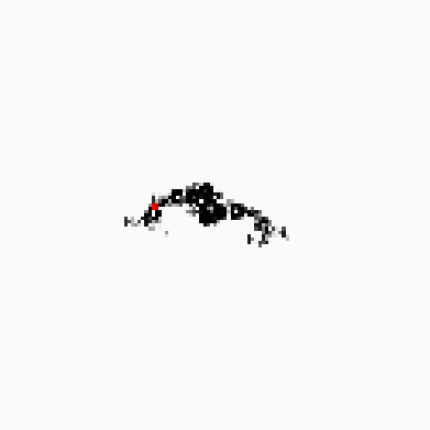 CC(C)N1CCN(CCNC2CCN(c3cccc(-c4[nH]c5ccc(F)cc5c4-c4c(-c5cccc(N6CCC(NCCN7CCN(C(C)C)CC7)CC6)c5)[nH]c5ccc(F)cc45)c3)CC2)CC1